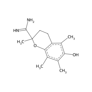 Cc1c(C)c2c(c(C)c1O)CCC(C)(C(=N)N)O2